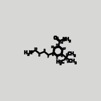 CC(C)(C)c1cc(CCCCN)cc(C(N)=O)c1